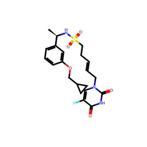 C[C@@H](NS(=O)(=O)CC/C=C/Cn1cc(F)c(=O)[nH]c1=O)c1cccc(OCC2CC2)c1